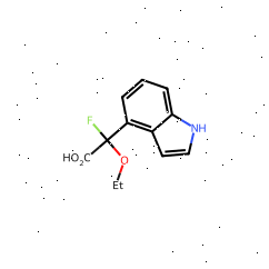 CCOC(F)(C(=O)O)c1cccc2[nH]ccc12